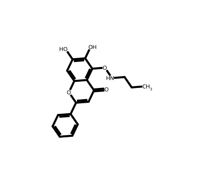 CCCNOc1c(O)c(O)cc2oc(-c3ccccc3)cc(=O)c12